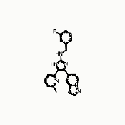 Cc1cccc(-c2[nH]c(NCc3cccc(F)c3)nc2-c2ccn3nccc3c2)n1